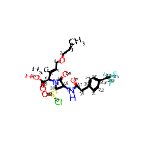 CCCOCC=C(C)C(C(=O)O)N1C(=O)C(NC(=O)Cc2ccc(C(F)(F)F)cc2)C1[S+]([O-])Cl